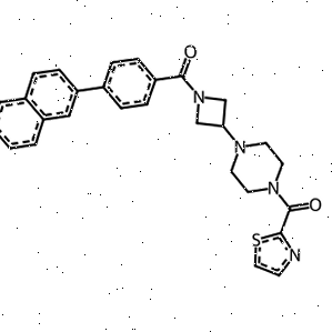 O=C(c1ccc(-c2ccc3ccccc3c2)cc1)N1CC(N2CCN(C(=O)c3nccs3)CC2)C1